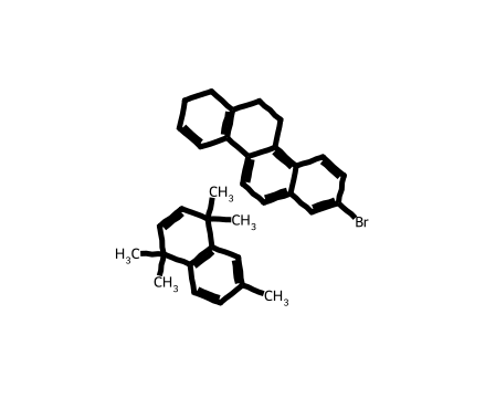 Brc1ccc2c3c(ccc2c1)C1=C(CCC=C1)CC3.Cc1ccc2c(c1)C(C)(C)C=CC2(C)C